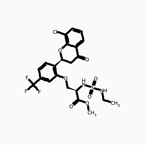 CCNS(=O)(=O)N[C@H](COc1cc(C(F)(F)F)ccc1[C@@H]1CC(=O)c2cccc(Cl)c2O1)C(=O)OC